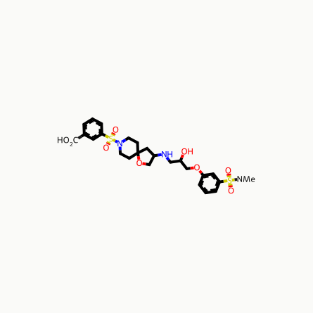 CNS(=O)(=O)c1cccc(OCC(O)CNC2COC3(CCN(S(=O)(=O)c4cccc(C(=O)O)c4)CC3)C2)c1